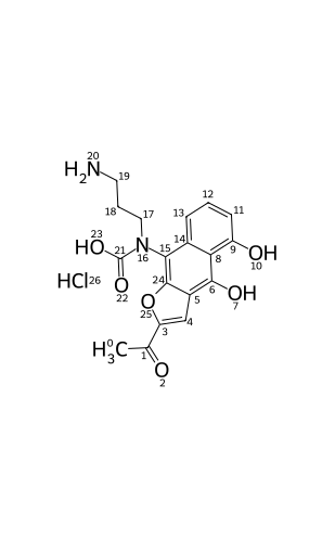 CC(=O)c1cc2c(O)c3c(O)cccc3c(N(CCCN)C(=O)O)c2o1.Cl